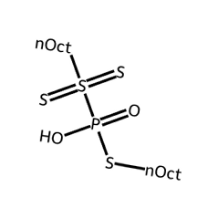 CCCCCCCCSP(=O)(O)S(=S)(=S)CCCCCCCC